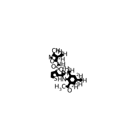 [2H]c1c(C([2H])([2H])[2H])cc(C([2H])([2H])[2H])c(NC(=O)c2sccc2S(=O)(=O)Nc2onc(C)c2C([2H])([2H])[2H])c1C(C)=O